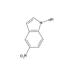 CCCn1ccc2cc([N+](=O)[O-])ccc21